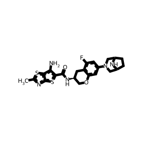 Cc1nc2sc(C(=O)N[C@@H]3COc4cc(N5CC6CCC(C5)N6)cc(F)c4C3)c(N)c2s1